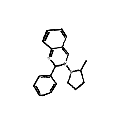 CC1CCCN1N1C=c2ccccc2=NC1c1ccccc1